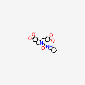 COc1ccc(C[C@H]2c3cc(OC)c(OC)cc3CCN2CC(=O)NCC2CCCCC2)cc1OC